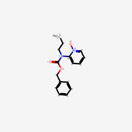 O=C(O)CCN(C(=O)OCc1ccccc1)c1cccc[n+]1[O-]